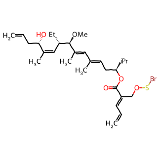 C=C/C=C(\COSBr)C(=O)O[C@@H](C/C=C(C)/C=C(\C)[C@H](OC)[C@H](/C=C(/C)[C@@H](O)CC=C)CC)C(C)C